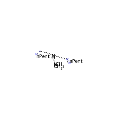 CCCCC/C=C\C/C=C\CCCCCCCCN(CCCCCCCC/C=C\C/C=C\CCCCC)OCCCCN(C)C